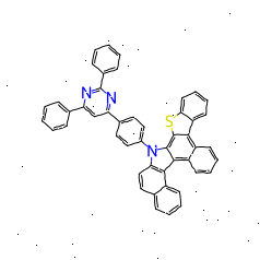 c1ccc(-c2cc(-c3ccc(-n4c5ccc6ccccc6c5c5c6ccccc6c6c7ccccc7sc6c54)cc3)nc(-c3ccccc3)n2)cc1